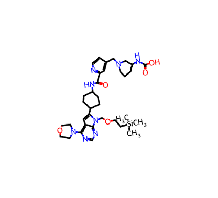 C[Si](C)(C)CCOCn1c(C2CCC(NC(=O)c3cc(CN4CCCC(NC(=O)O)C4)ccn3)CC2)cc2c(N3CCOCC3)ncnc21